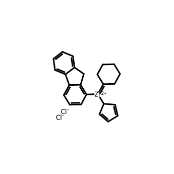 C1=C[CH]([Zr+2](=[C]2CCCCC2)[c]2cccc3c2Cc2ccccc2-3)C=C1.[Cl-].[Cl-]